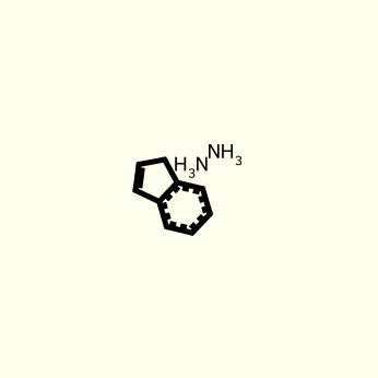 C1=Cc2ccccc2C1.N.N